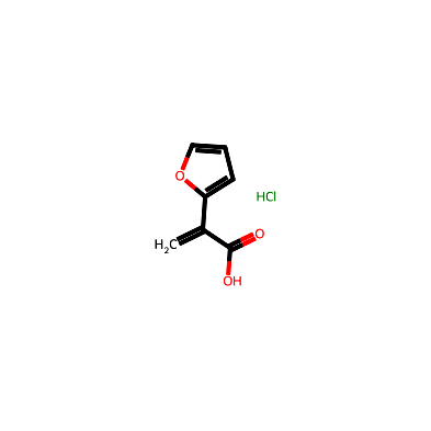 C=C(C(=O)O)c1ccco1.Cl